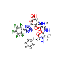 CC(C)[C@H](NC(=O)CCc1ccccc1)C(=O)N[C@@H](C)C(=O)NC(CC(=O)O)C(=O)Cn1nnc(-c2c(F)c(F)c(F)c(F)c2F)n1